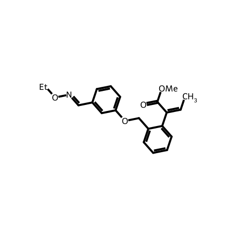 CC=C(C(=O)OC)c1ccccc1COc1cccc(C=NOCC)c1